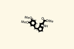 COC(=O)c1cc2c([nH]1)CCC2Cc1ccc(OC)c(OC)c1